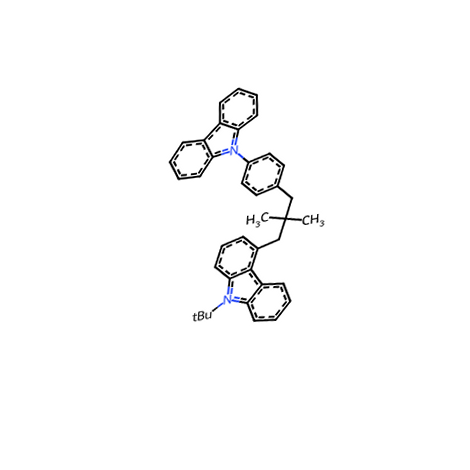 CC(C)(Cc1ccc(-n2c3ccccc3c3ccccc32)cc1)Cc1cccc2c1c1ccccc1n2C(C)(C)C